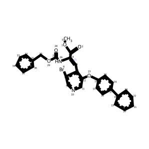 COC(=O)/C(=C/c1c(Br)cncc1Oc1ccc(-c2ccccc2)cc1)NC(=O)OCc1ccccc1